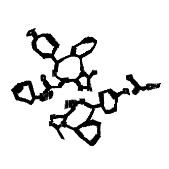 CC(=O)O.Cc1nnc2n1-c1ccccc1C(c1ccc(Cl)cc1)=NN2.Cc1nnc2n1-c1ccccc1C(c1ccc(Cl)cc1)=NN2CC(=O)Nc1ccccc1